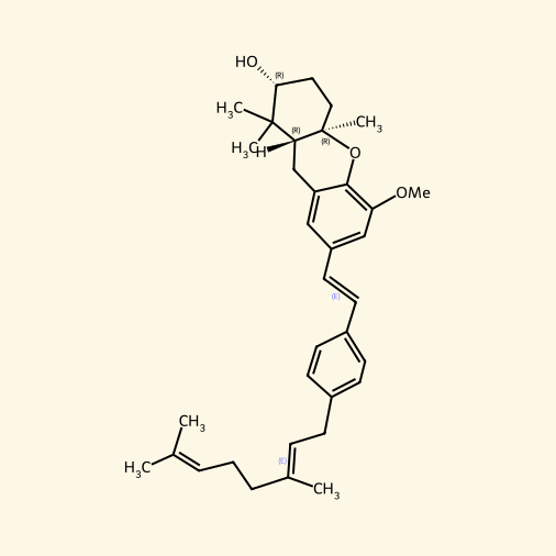 COc1cc(/C=C/c2ccc(C/C=C(\C)CCC=C(C)C)cc2)cc2c1O[C@]1(C)CC[C@@H](O)C(C)(C)[C@H]1C2